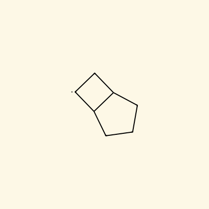 [CH]1CC2CCCC12